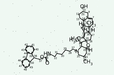 CC1=C2C[C@H]3[C@@H](CC=C4C[C@@H](O)CC[C@@]43C)[C@@H]2CC[C@]12O[C@@H]1C[C@H](C)CN(CCCCCCNC(=O)OCC3c4ccccc4-c4ccccc43)C1[C@H]2C